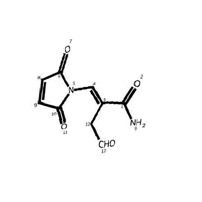 NC(=O)C(=CN1C(=O)C=CC1=O)CC=O